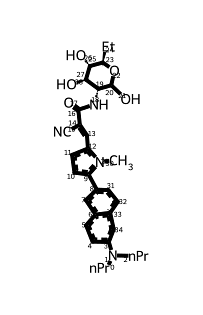 CCCN(CCC)c1ccc2cc(-c3ccc(/C=C(\C#N)C(=O)N[C@H]4C(O)O[C@H](CC)[C@@H](O)[C@@H]4O)n3C)ccc2c1